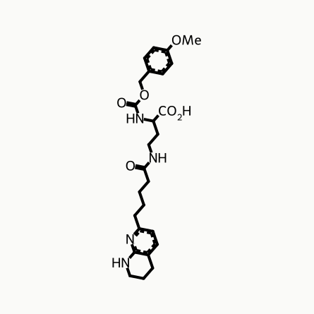 COc1ccc(COC(=O)NC(CCNC(=O)CCCCc2ccc3c(n2)NCCC3)C(=O)O)cc1